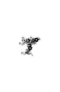 C#CC(Nc1cnc(N(CC)CC)nc1NC(Cc1ccc(OC(=O)N(C)C)cc1)C(=O)O)S(=O)(=O)c1ccc(F)cc1F